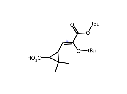 CC(C)(C)OC(=O)/C(=C/C1C(C(=O)O)C1(C)C)OC(C)(C)C